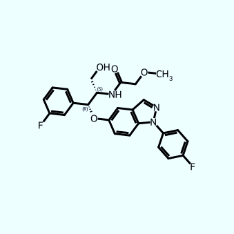 COCC(=O)N[C@@H](CO)[C@H](Oc1ccc2c(cnn2-c2ccc(F)cc2)c1)c1cccc(F)c1